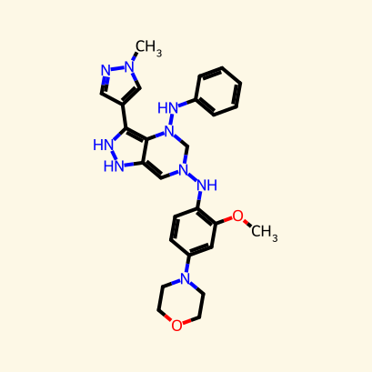 COc1cc(N2CCOCC2)ccc1NN1C=C2NNC(c3cnn(C)c3)=C2N(Nc2ccccc2)C1